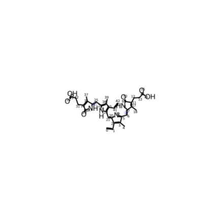 C=CC1=C(C)C(/C=C2\NC(=O)C(CCC(=O)O)=C2C)=NC1=Cc1[nH]c(/C=C2\NC(=O)C(CCC(=O)O)=C2C)c(C)c1C=C